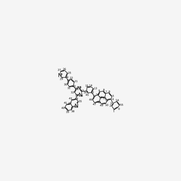 c1ccc(-c2ccc3ccc4c(-c5cccc(-c6nc(-c7ccc(-c8cccnc8)cc7)cc(-c7cnc8ccccc8c7)n6)c5)ccc5ccc2c3c54)cc1